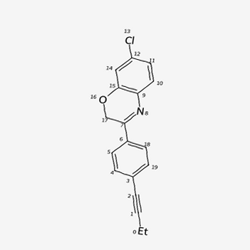 CCC#Cc1ccc(C2=Nc3ccc(Cl)cc3OC2)cc1